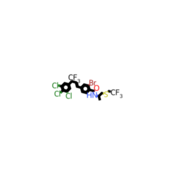 CC(CSCC(F)(F)F)NC(=O)c1ccc(/C=C/C(c2cc(Cl)c(Cl)c(Cl)c2)C(F)(F)F)cc1Br